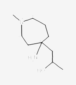 CC(O)CC1(N)CCCN(C)CC1